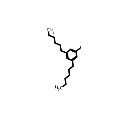 CCCCCCc1cc(I)cc(CCCCCC)c1